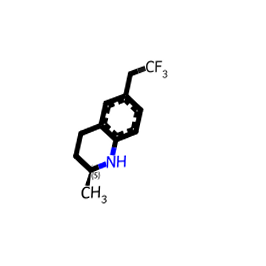 C[C@H]1CCc2cc(CC(F)(F)F)ccc2N1